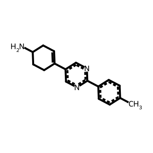 Cc1ccc(-c2ncc(C3=CCC(N)CC3)cn2)cc1